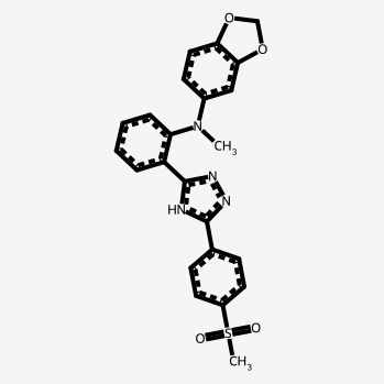 CN(c1ccc2c(c1)OCO2)c1ccccc1-c1nnc(-c2ccc(S(C)(=O)=O)cc2)[nH]1